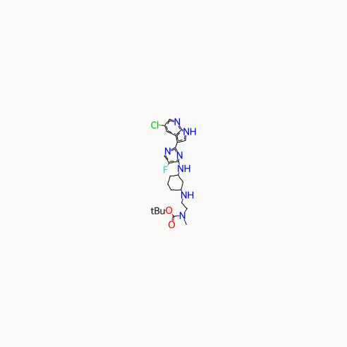 CN(CCNC1CCCC(Nc2nc(-c3c[nH]c4ncc(Cl)cc34)ncc2F)C1)C(=O)OC(C)(C)C